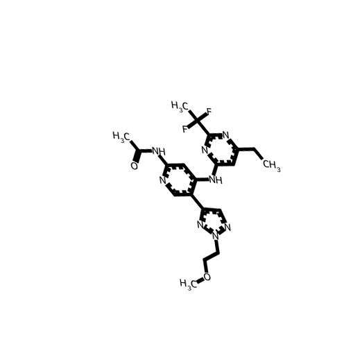 CCc1cc(Nc2cc(NC(C)=O)ncc2-c2cnn(CCOC)n2)nc(C(C)(F)F)n1